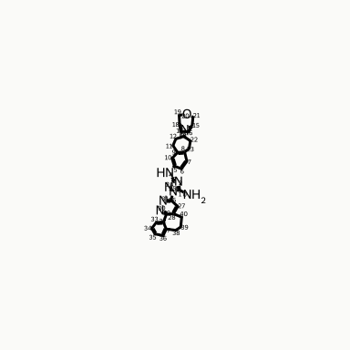 Nc1nc(Nc2ccc3c(c2)CC[C@H](N2C4CCC2COC4)CC3)nn1-c1cc2c(nn1)-c1ccccc1CCC2